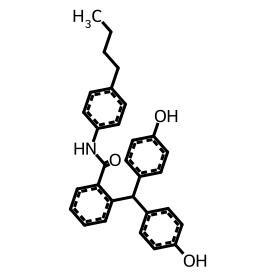 CCCCc1ccc(NC(=O)c2ccccc2C(c2ccc(O)cc2)c2ccc(O)cc2)cc1